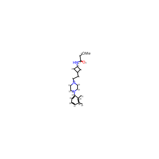 COCC(=O)NC1CC(CCN2CCN(c3cccc(C)c3C)CC2)C1